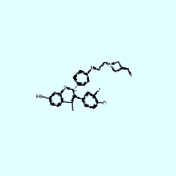 CC1=C(c2ccc(Cl)c(F)c2)[C@@H](c2ccc(OCCN3CC(CF)C3)cc2)Oc2cc(O)ccc21